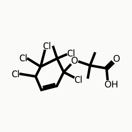 CC(C)(OC1(Cl)C=CC(Cl)C(Cl)(Cl)C1(C)Cl)C(=O)O